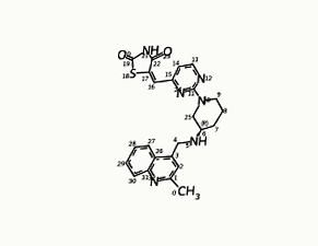 Cc1cc(CN[C@@H]2CCCN(c3nccc(C=C4SC(=O)NC4=O)n3)C2)c2ccccc2n1